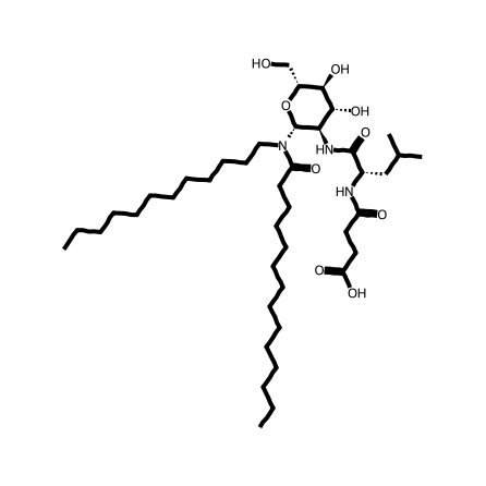 CCCCCCCCCCCCCC(=O)N(CCCCCCCCCCCC)[C@@H]1O[C@H](CO)[C@@H](O)[C@H](O)[C@H]1NC(=O)[C@H](CC(C)C)NC(=O)CCC(=O)O